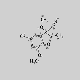 COc1cc(Cl)cc(C(C#N)(OC)C(C)=O)c1